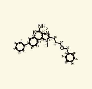 Nc1nc2cc(-c3ccccc3)ccc2c2[nH]c(CCCOCc3ccccc3)nc12